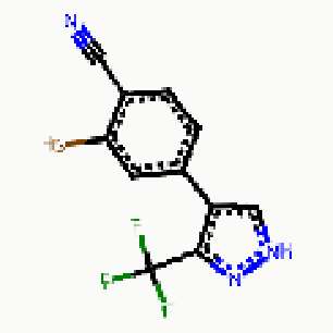 N#Cc1ccc(-c2c[nH]nc2C(F)(F)F)cc1S